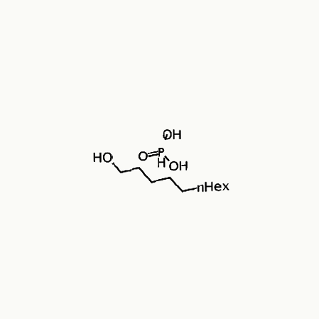 CCCCCCCCCCCO.O=[PH](O)O